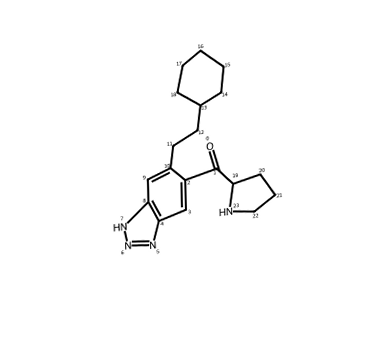 O=C(c1cc2nn[nH]c2cc1CCC1CCCCC1)C1CCCN1